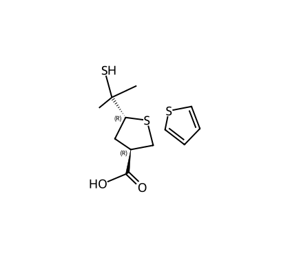 CC(C)(S)[C@H]1C[C@H](C(=O)O)CS1.c1ccsc1